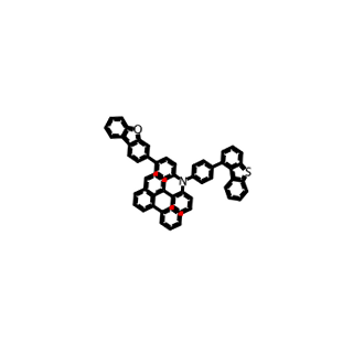 c1ccc(-c2cccc3cccc(-c4ccccc4N(c4ccc(-c5ccc6c(c5)oc5ccccc56)cc4)c4ccc(-c5cccc6sc7ccccc7c56)cc4)c23)cc1